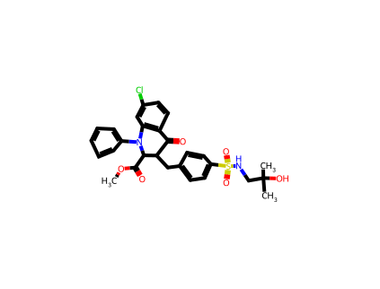 COC(=O)C1C(Cc2ccc(S(=O)(=O)NCC(C)(C)O)cc2)C(=O)c2ccc(Cl)cc2N1c1ccccc1